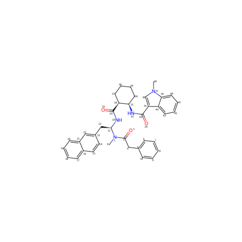 CN(C(=O)Cc1ccccc1)[C@@H](Cc1ccc2ccccc2c1)NC(=O)[C@H]1CCCC[C@H]1NC(=O)c1cn(C)c2ccccc12